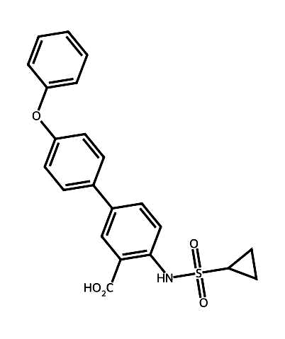 O=C(O)c1cc(-c2ccc(Oc3ccccc3)cc2)ccc1NS(=O)(=O)C1CC1